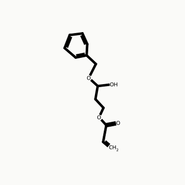 C=CC(=O)OCCC(O)OCc1ccccc1